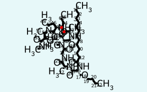 CCCCCCCCCCCCCC(=O)N[C@H](COCCCC)C(=O)N[C@H](C)C(=O)NCC(=O)N(C)[C@H](C(=O)N[C@@H](C)C(=O)N[C@H]1CC(C)N(C(C)C(=O)C(=O)NC)C1=O)C(C)OCCCC